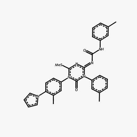 CSc1nc(=NC(=O)Nc2cccc(C)c2)n(-c2cccc(C)c2)c(=O)n1-c1ccc(-n2cccc2)c(C)c1